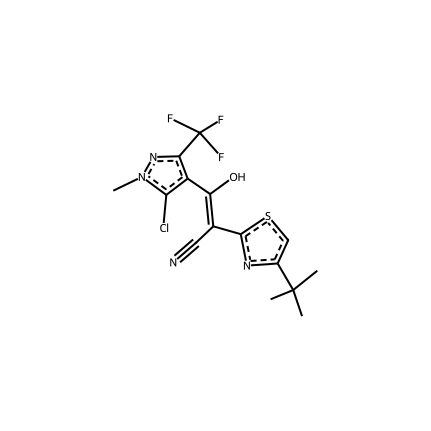 Cn1nc(C(F)(F)F)c(C(O)=C(C#N)c2nc(C(C)(C)C)cs2)c1Cl